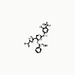 CS(=O)(=O)c1ccc(Nc2ncc(-c3nc(C(F)F)no3)c(N[C@H](CO)c3ccccc3)n2)cc1Cl